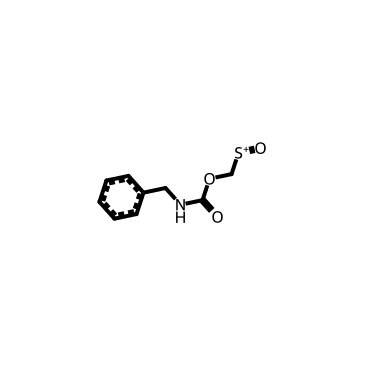 O=[S+]COC(=O)NCc1ccccc1